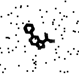 O=C(O)c1onc2c1CC(c1ccccc1)OC2